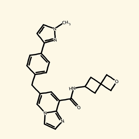 Cn1ccc(-c2ccc(Cc3cc(C(=O)NC4CC5(COC5)C4)c4nccn4c3)cc2)n1